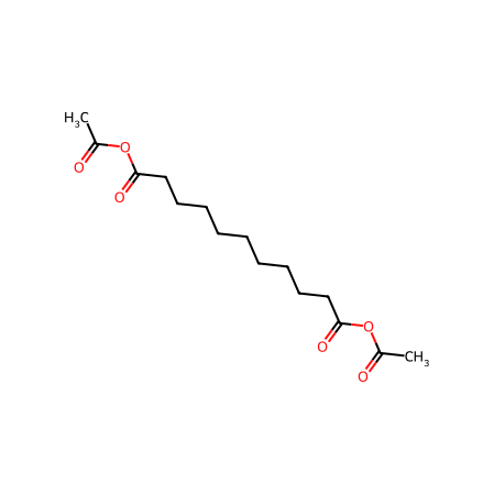 CC(=O)OC(=O)CCCCCCCCCC(=O)OC(C)=O